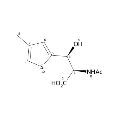 CC(=O)N[C@@H](C(=O)O)[C@H](O)c1cc(C)cs1